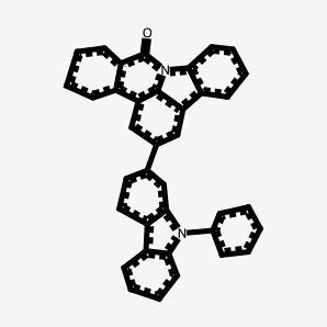 O=c1c2ccccc2c2cc(-c3ccc4c5ccccc5n(-c5ccccc5)c4c3)cc3c4ccccc4n1c23